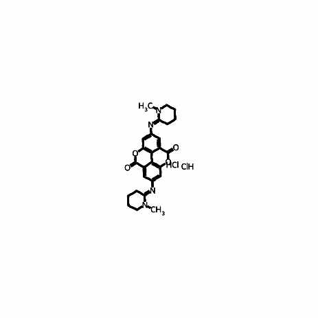 CN1CCCCC1=Nc1cc2oc(=O)c3cc(N=C4CCCCN4C)cc4oc(=O)c(c1)c2c43.Cl.Cl